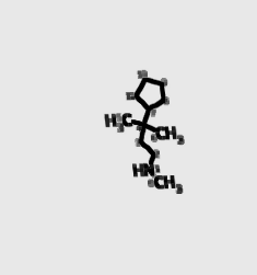 CNCCC(C)(C)C1CCCC1